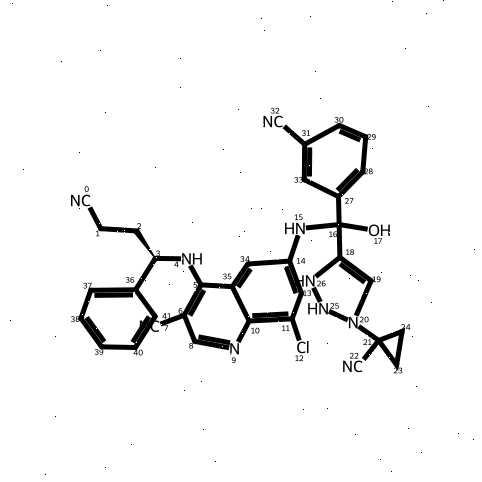 N#CCC[C@@H](Nc1c(C#N)cnc2c(Cl)cc(NC(O)(C3=CN(C4(C#N)CC4)NN3)c3cccc(C#N)c3)cc12)c1ccccc1